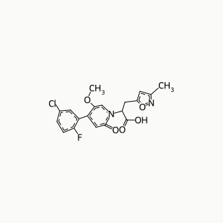 COc1cn(C(Cc2cc(C)no2)C(=O)O)c(=O)cc1-c1cc(Cl)ccc1F